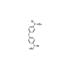 CCCCC(Br)c1ccc(Cc2ccc(C(Br)CCCC)cc2)cc1